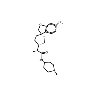 C[C@H](C(=O)N[C@H]1CC[C@H](C)CC1)[C@H]1CC[C@]2(CC1)COc1cc(C(F)(F)F)ccc12